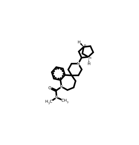 CN(C)C(=O)N1CCCC2(CCN(C3C[C@@H]4CC[C@@H]3C4)CC2)c2ccccc21